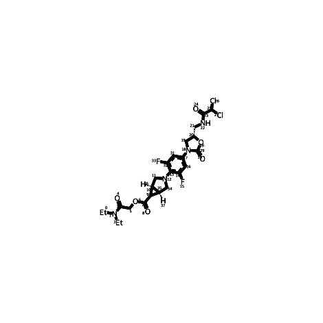 CCN(CC)C(=O)COC(=O)C1[C@H]2CN(c3c(F)cc(N4C[C@H](CNC(=O)C(Cl)Cl)OC4=O)cc3F)C[C@@H]12